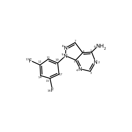 Nc1ncnc2c1cnn2-c1cc(F)cc(F)c1